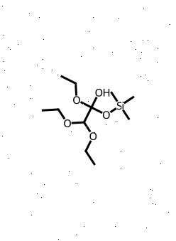 CCOC(OCC)C(O)(OCC)O[Si](C)(C)C